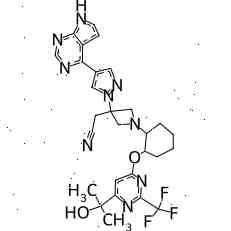 CC(C)(O)c1cc(OC2CCCCC2N2CC(CC#N)(n3cc(-c4ncnc5[nH]ccc45)cn3)C2)nc(C(F)(F)F)n1